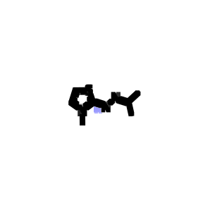 CC(C)=N/N=c1\sccn1C